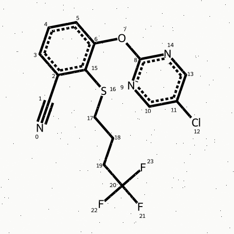 N#Cc1cccc(Oc2ncc(Cl)cn2)c1SCCCC(F)(F)F